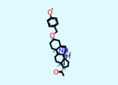 COc1ccc(CO[C@H]2CC[C@@]3(C)C(=CC[C@H]4[C@]5(C)CC[C@H](C(C)=O)[C@@]5(C)CC[C@@]43N)C2)cc1